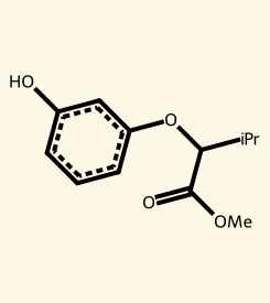 COC(=O)C(Oc1cccc(O)c1)C(C)C